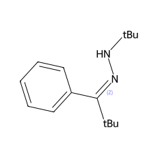 CC(C)(C)N/N=C(\c1ccccc1)C(C)(C)C